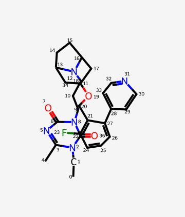 CCn1c(C)nc(=O)n(CCCN2C3CCC2CC(OCc2c(F)cccc2-c2ccncc2)C3)c1=O